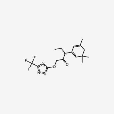 CCN(C(=O)COc1nnc(C(F)(F)F)s1)C1=CC(C)(C)CC(C)=C1